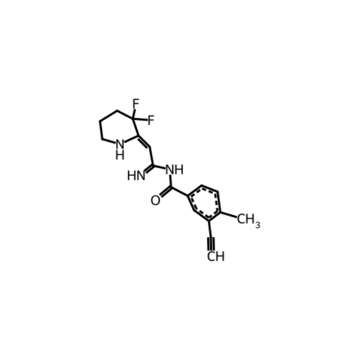 C#Cc1cc(C(=O)NC(=N)/C=C2\NCCCC2(F)F)ccc1C